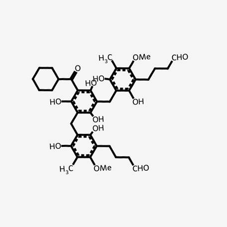 COc1c(C)c(O)c(Cc2c(O)c(Cc3c(O)c(C)c(OC)c(CCCC=O)c3O)c(O)c(C(=O)C3CCCCC3)c2O)c(O)c1CCCC=O